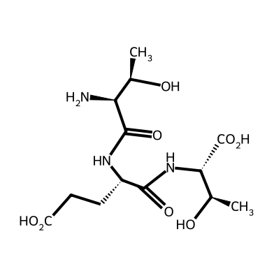 C[C@@H](O)[C@H](N)C(=O)N[C@@H](CCC(=O)O)C(=O)N[C@H](C(=O)O)[C@@H](C)O